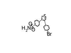 NS(=O)(=O)c1ccc(-c2cscc2-c2ccc(Br)cc2)cc1